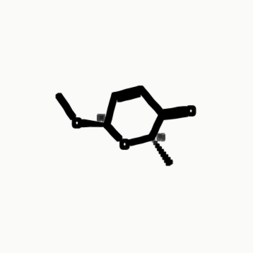 CO[C@H]1C=CC(=O)[C@H](C)O1